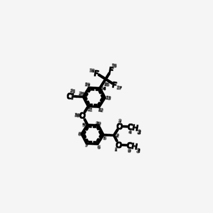 COC(OC)c1cccc(Oc2ccc(C(F)(F)F)cc2Cl)c1